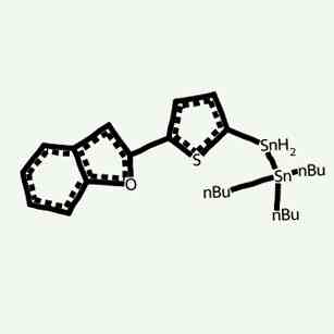 CCC[CH2][Sn]([CH2]CCC)([CH2]CCC)[SnH2][c]1ccc(-c2cc3ccccc3o2)s1